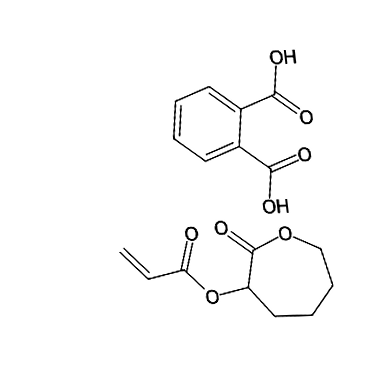 C=CC(=O)OC1CCCCOC1=O.O=C(O)c1ccccc1C(=O)O